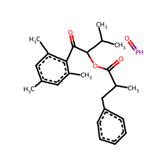 Cc1cc(C)c(C(=O)C(OC(=O)C(C)Cc2ccccc2)C(C)C)c(C)c1.O=P